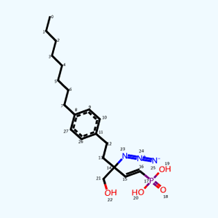 CCCCCCCCc1ccc(CCC(C=CP(=O)(O)O)(CO)N=[N+]=[N-])cc1